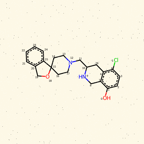 Oc1ccc(Cl)c2c1CNC(CN1CCC3(CC1)OCc1ccccc13)C2